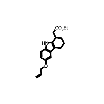 C=CCOc1ccc2[nH]c3c(c2c1)CCCC3CC(=O)OCC